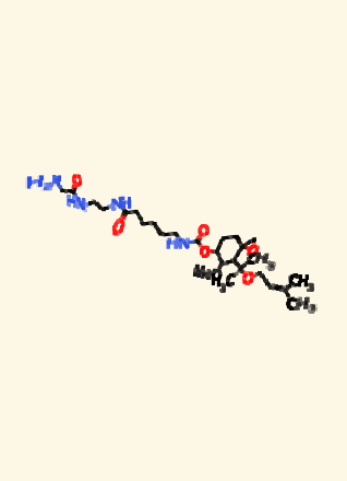 COC1C(OC(=O)NCCCCCC(=O)NCCNC(=O)CN)CC[C@]2(CO2)C1C(C)(C)OCC=C(C)C